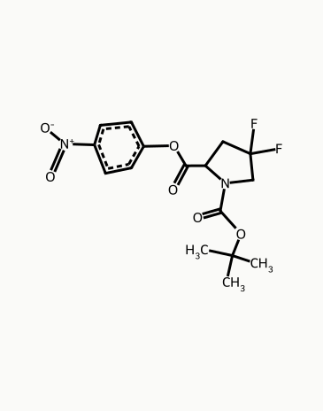 CC(C)(C)OC(=O)N1CC(F)(F)CC1C(=O)Oc1ccc([N+](=O)[O-])cc1